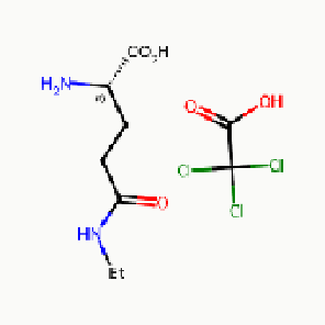 CCNC(=O)CC[C@H](N)C(=O)O.O=C(O)C(Cl)(Cl)Cl